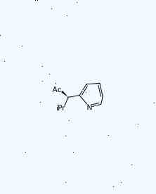 CC(=O)[C@@H](c1ccccn1)C(C)C